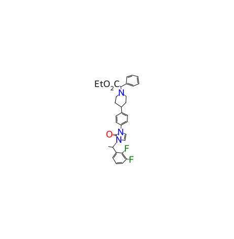 CCOC(=O)C(c1ccccc1)N1CCC(c2ccc(-n3ccn(C(C)c4cccc(F)c4F)c3=O)cc2)CC1